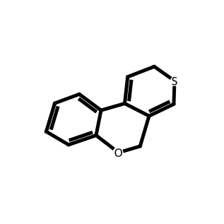 C1=C2COc3ccccc3C2=CCS1